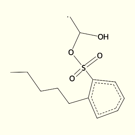 [CH2]C(O)OS(=O)(=O)c1ccccc1CCCCC